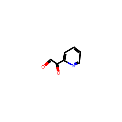 O=[C]C(=O)c1ccccn1